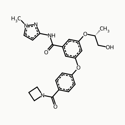 C[C@H](CO)Oc1cc(Oc2ccc(C(=O)N3CCC3)cc2)cc(C(=O)Nc2ccn(C)n2)c1